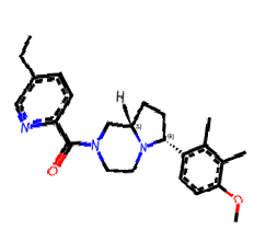 CCc1ccc(C(=O)N2CCN3[C@@H](CC[C@@H]3c3ccc(OC)c(C)c3C)C2)nc1